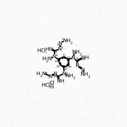 Cl.Cl.Cl.N=C(N=NN)N(N)c1cc(N(N)C(=N)N=NN)cc(N(N)C(=N)N=NN)c1